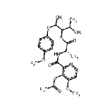 COc1ccc(O[C@@H](C)C(OC(=O)[C@H](C)NC(=O)c2nccc(OC)c2OC(C)=O)C(C)C)cc1